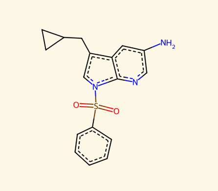 Nc1cnc2c(c1)c(CC1CC1)cn2S(=O)(=O)c1ccccc1